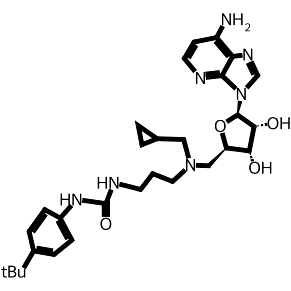 CC(C)(C)c1ccc(NC(=O)NCCCN(CC2CC2)C[C@H]2O[C@@H](n3cnc4c(N)ccnc43)[C@H](O)[C@@H]2O)cc1